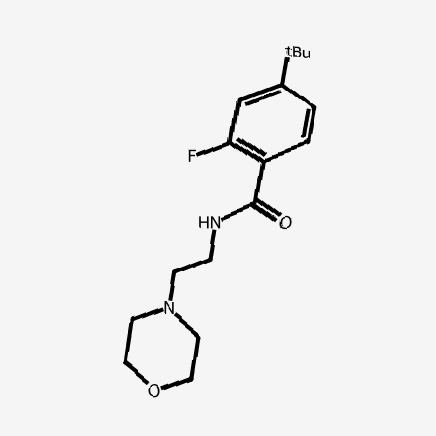 CC(C)(C)c1ccc(C(=O)NCCN2CCOCC2)c(F)c1